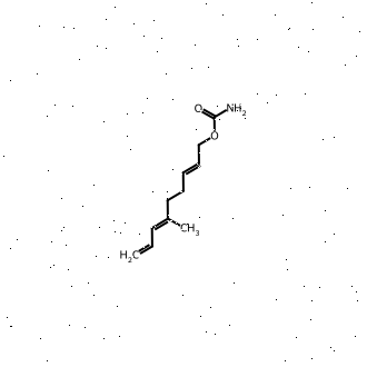 C=C/C=C(\C)CC/C=C/COC(N)=O